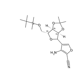 CC1(C)O[C@@H]2[C@@H](CO[Si](C)(C)C(C)(C)C)OC(c3coc(C#N)c3N)[C@@H]2O1